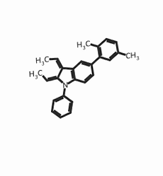 C/C=c1\c(=C/C)n(-c2ccccc2)c2ccc(-c3cc(C)ccc3C)cc12